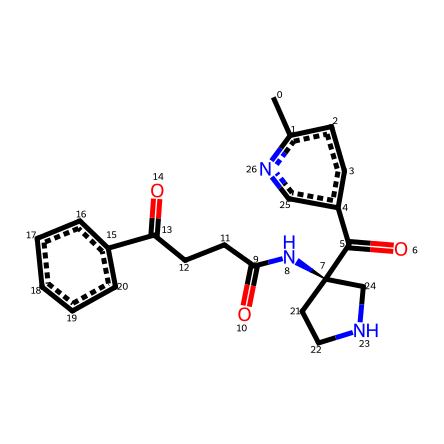 Cc1ccc(C(=O)[C@@]2(NC(=O)CCC(=O)c3ccccc3)CCNC2)cn1